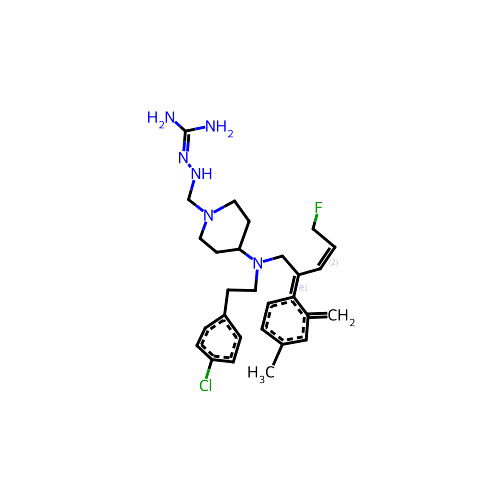 C=c1cc(C)cc/c1=C(/C=C\CF)CN(CCc1ccc(Cl)cc1)C1CCN(CNN=C(N)N)CC1